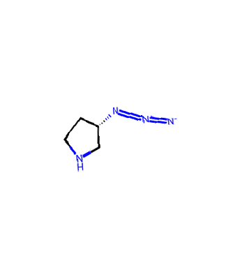 [N-]=[N+]=N[C@H]1CCNC1